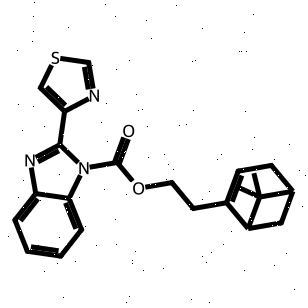 CC1(C)C2CC=C(CCOC(=O)n3c(-c4cscn4)nc4ccccc43)C1C2